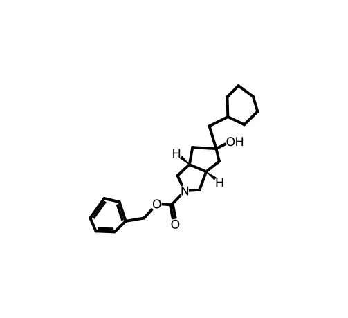 O=C(OCc1ccccc1)N1C[C@@H]2CC(O)(CC3CCCCC3)C[C@@H]2C1